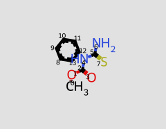 COC(=O)NC(N)=S.c1ccccc1